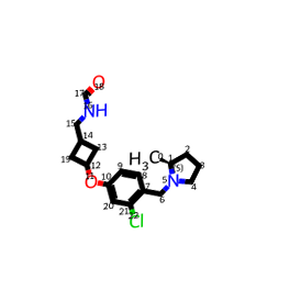 C[C@H]1CCCN1Cc1ccc(OC2CC(CNC=O)C2)cc1Cl